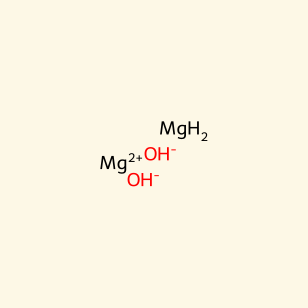 [Mg+2].[MgH2].[OH-].[OH-]